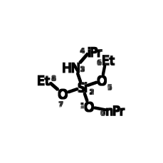 CCCO[Si](NC(C)C)(OCC)OCC